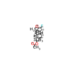 CC(=O)O[C@H]1CC[C@@]2(C)C(=CC[C@@H]3[C@@H]2CC[C@]2(C)C(=O)C(F)C[C@@H]32)C1